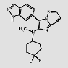 CN(c1nc2cccnn2c1-c1ccc2cn[nH]c2c1)C1CCC(F)(F)CC1